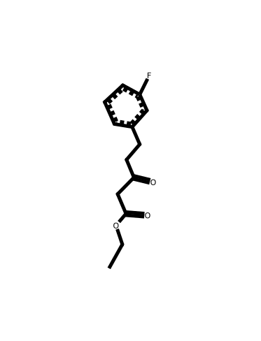 CCOC(=O)CC(=O)CCc1cccc(F)c1